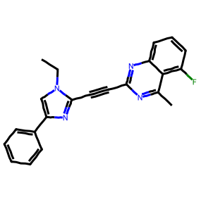 CCn1cc(-c2ccccc2)nc1C#Cc1nc(C)c2c(F)cccc2n1